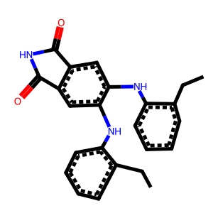 CCc1ccccc1Nc1cc2c(cc1Nc1ccccc1CC)C(=O)NC2=O